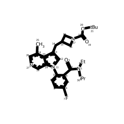 CCN(C(=O)c1cc(F)ccc1-n1cc(CC2CN(C(=O)OC(C)(C)C)C2)c2c(C)cncc21)C(C)C